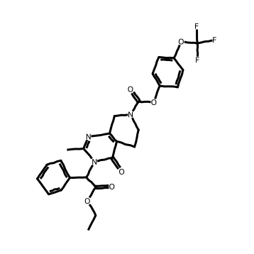 CCOC(=O)C(c1ccccc1)n1c(C)nc2c(c1=O)CCN(C(=O)Oc1ccc(OC(F)(F)F)cc1)C2